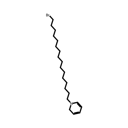 BrCCCCCCCCCCCCCCCCN1C=CC=CC1